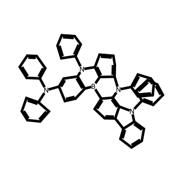 c1ccc(N(c2ccccc2)c2ccc3c(c2)N(c2ccccc2)c2cccc4c2B3c2ccc3c5ccccc5n(-c5ccccc5)c3c2N4c2ccccc2)cc1